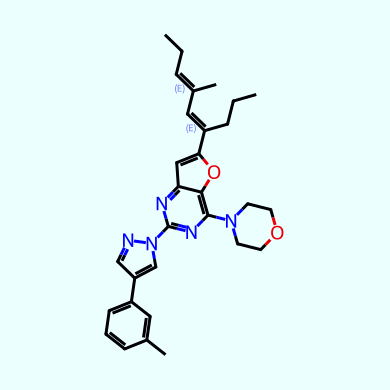 CC/C=C(C)/C=C(\CCC)c1cc2nc(-n3cc(-c4cccc(C)c4)cn3)nc(N3CCOCC3)c2o1